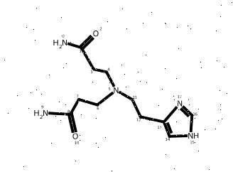 NC(=O)CCN(CCC(N)=O)CCc1c[nH]cn1